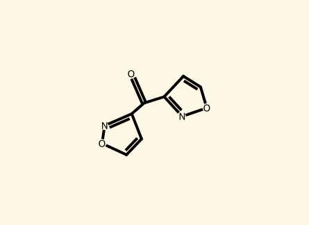 O=C(c1ccon1)c1ccon1